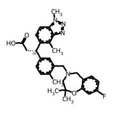 Cc1ccc([C@H](CC(=O)O)c2ccc3c(nnn3C)c2C)cc1CN1Cc2ccc(F)cc2OC(C)(C)C1